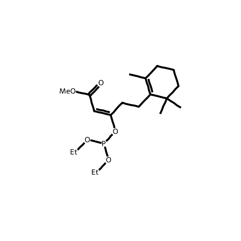 CCOP(OCC)OC(=CC(=O)OC)CCC1=C(C)CCCC1(C)C